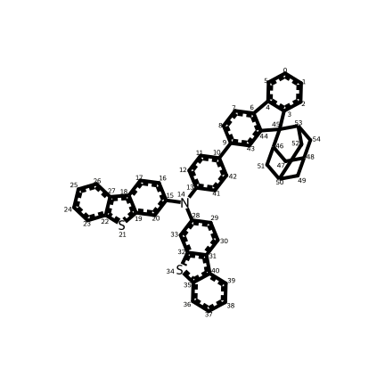 c1ccc2c(c1)-c1ccc(-c3ccc(N(c4ccc5c(c4)sc4ccccc45)c4ccc5c(c4)sc4ccccc45)cc3)cc1C21C2CC3CC(C2)CC1C3